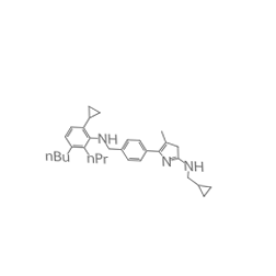 CCCCc1ccc(C2CC2)c(NCc2ccc(C3=C(C)CC(NCC4CC4)=N3)cc2)c1CCC